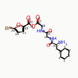 N[C@@H](CC1CCCCC1)C(=O)NCC(=O)NCC(=O)OC(=O)c1ccc(Br)o1